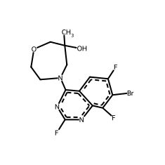 CC1(O)COCCN(c2nc(F)nc3c(F)c(Br)c(F)cc23)C1